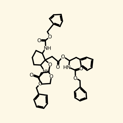 O=C(CC1(OC2CCCCO2)C(NC(=O)OCc2ccccc2)CCCC1NC(=O)OCc1ccccc1)OC(Cc1ccccc1)NC(=O)OCc1ccccc1